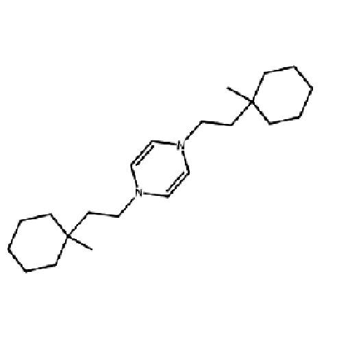 CC1(CCN2C=CN(CCC3(C)CCCCC3)C=C2)CCCCC1